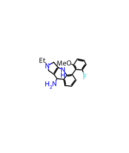 CCN1CC2=C(C1)C(N)c1cccc(-c3c(F)cccc3OC)c1N2